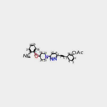 CC(=O)Oc1cccc(C#Cc2ccc(N3CCC(Oc4ccccc4C#N)CC3)nn2)c1